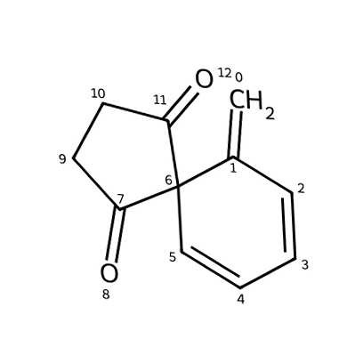 C=C1C=CC=CC12C(=O)CCC2=O